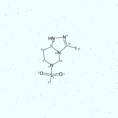 CS(=O)(=O)N1CCC2NN=C(I)N2C1